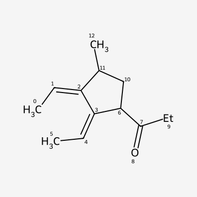 C/C=C1\C(=C/C)C(C(=O)CC)CC1C